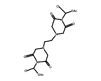 CC(=O)OC(Cl)N1C(=O)CN(CCN2CC(=O)N(C(Cl)OC(C)=O)C(=O)C2)CC1=O